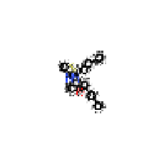 c1ccc(-c2ccc(-c3cccc4c3oc3cccc(-c5nc(-c6ccc7cc(-c8ccccc8)ccc7c6)c6sc7ccccc7c6n5)c34)cc2)cc1